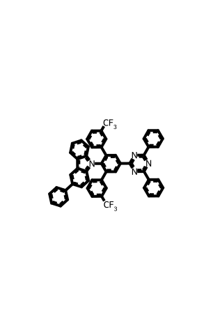 FC(F)(F)c1cccc(-c2cc(-c3nc(-c4ccccc4)nc(-c4ccccc4)n3)cc(-c3cccc(C(F)(F)F)c3)c2-n2c3ccccc3c3cc(-c4ccccc4)ccc32)c1